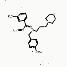 C=N/C(=N\N(CCCN1CCOCC1)Cc1ccc(NC)cc1)c1cccc(C(F)(F)F)c1